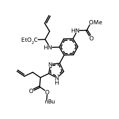 C=CCC(Nc1cc(NC(=O)OC)ccc1-c1c[nH]c(C(CC=C)C(=O)OCCCC)n1)C(=O)OCC